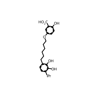 CC(C)c1ccc(CCCCCCOc2ccc(O)c(C(=O)O)c2)c(O)c1O